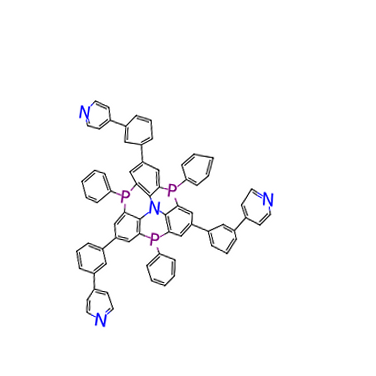 c1ccc(P2c3cc(-c4cccc(-c5ccncc5)c4)cc4c3N3c5c2cc(-c2cccc(-c6ccncc6)c2)cc5P(c2ccccc2)c2cc(-c5cccc(-c6ccncc6)c5)cc(c23)P4c2ccccc2)cc1